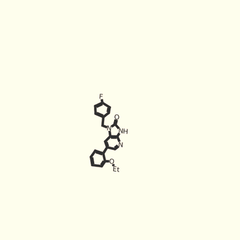 CCOc1ccccc1-c1cnc2[nH]c(=O)n(Cc3ccc(F)cc3)c2c1